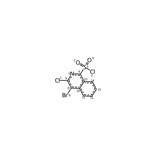 O=S(=O)(Cl)c1nc(Cl)c(Br)c2ccccc12